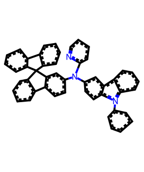 c1ccc(-n2c3ccccc3c3cc(N(c4ccc5c(c4)C4(c6ccccc6-c6ccccc64)c4ccccc4-5)c4ccccn4)ccc32)cc1